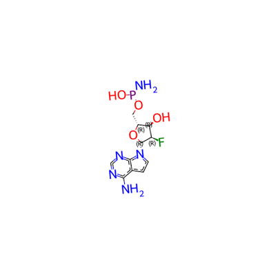 Nc1ncnc2c1ccn2[C@@H]1O[C@H](COP(N)O)[C@@H](O)[C@H]1F